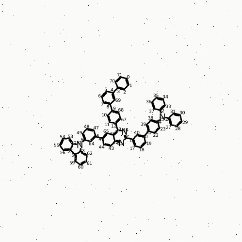 c1ccc(-c2cccc(-c3ccc(-c4nc(-c5cccc(-c6ccc(N(c7ccccc7)c7ccccc7)cc6)c5)nc5ccc(-c6cccc(-n7c8ccccc8c8ccccc87)c6)cc45)cc3)c2)cc1